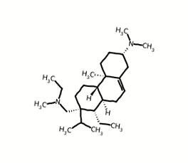 CC[C@H]1[C@@H]2CC=C3C[C@@H](N(C)C)CC[C@]3(C)[C@H]2CC[C@]1(CN(C)CC)C(C)C